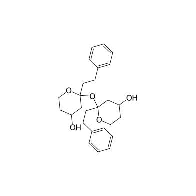 OC1CCOC(CCc2ccccc2)(OC2(CCc3ccccc3)CC(O)CCO2)C1